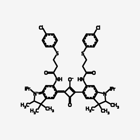 CC(C)N1c2cc(NC(=O)CCSc3ccc(Cl)cc3)c(C3=C([O-])/C(=c4/cc5c(cc4NC(=O)CCSc4ccc(Cl)cc4)=[N+](C(C)C)C(C)C5(C)C)C3=O)cc2C(C)(C)C1C